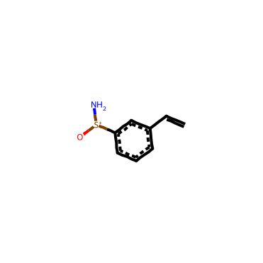 C=Cc1cccc([S+](N)[O-])c1